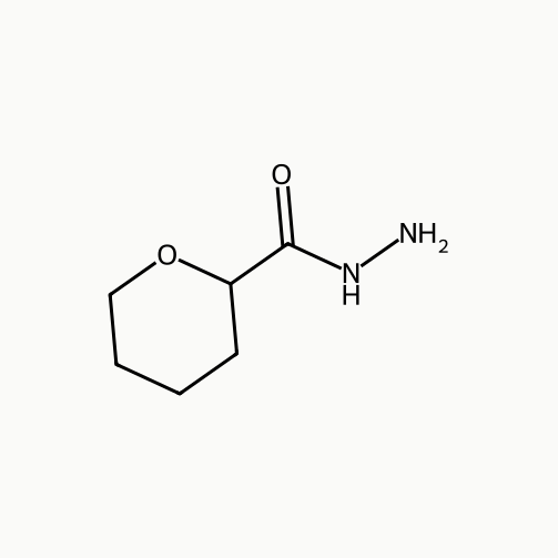 NNC(=O)C1CCCCO1